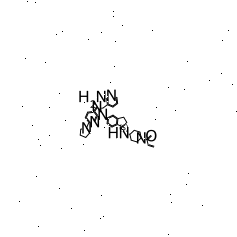 C=CC(=O)N1CCC(N[C@H]2CCc3cc(-n4c(-c5cccnc5N)nc5ccc(N6CCCC6)nc54)ccc32)CC1